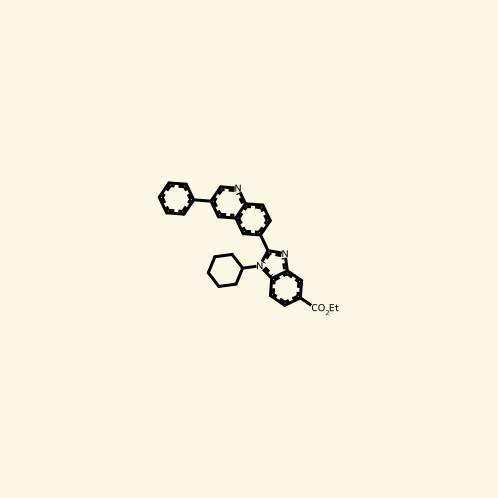 CCOC(=O)c1ccc2c(c1)nc(-c1ccc3ncc(-c4ccccc4)cc3c1)n2C1CCCCC1